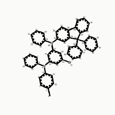 Cc1ccc(N(c2ccccc2)c2cc(Br)cc(N(c3ccccc3)c3ccc4c(c3)C(c3ccccc3)(c3ccccc3)c3ccccc3-4)c2)cc1